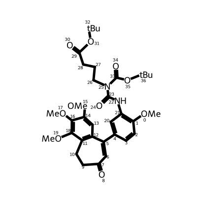 COc1ccc(C2=CC(=O)CCc3c2cc(OC)c(OC)c3OC)cc1NC(=O)N(CCCC(=O)OC(C)(C)C)C(=O)OC(C)(C)C